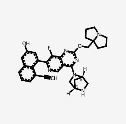 C#Cc1cccc2cc(O)cc(-c3ncc4c(N5C[C@@H]6C[C@H]5CN6)nc(OCC56CCCN5CCC6)nc4c3F)c12